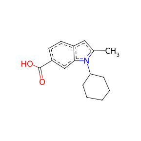 Cc1cc2ccc(C(=O)O)cc2n1C1CCCCC1